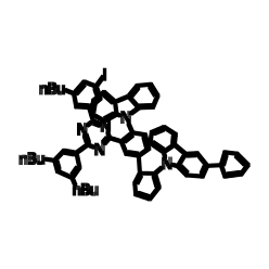 CCCCc1cc(I)cc(-c2nc(-c3cc(CCCC)cc(CCCC)c3)nc(-c3cc(-c4ccccc4-n4c5ccccc5c5cc(-c6ccccc6)ccc54)ccc3-n3c4ccccc4c4ccccc43)n2)c1